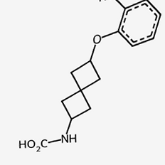 N#Cc1ccccc1OC1CC2(CC(NC(=O)O)C2)C1